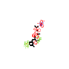 Cc1cc(S(F)(F)(F)(F)F)cc2c1O[C@H](C(F)(F)F)C(C(=O)OC(C)OC(=O)OC(C)CO[N+](=O)[O-])=C2